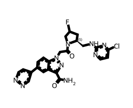 NC(=O)c1nn(CC(=O)N2CC(F)C[C@H]2CNc2nccc(Cl)n2)c2ccc(-c3ccnnc3)cc12